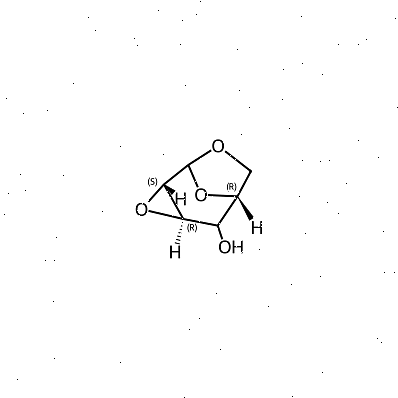 OC1[C@H]2O[C@@H]2C2OC[C@H]1O2